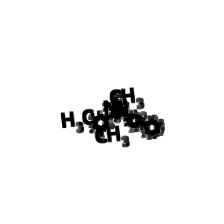 Cc1cc(C)cc(-c2cc(-c3ccc(-c4ccccc4)cc3)nc(C)n2)c1